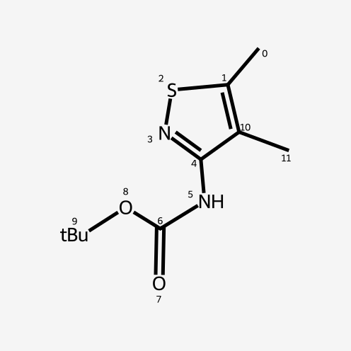 Cc1snc(NC(=O)OC(C)(C)C)c1C